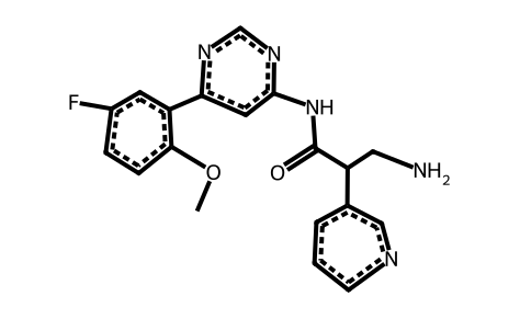 COc1ccc(F)cc1-c1cc(NC(=O)C(CN)c2cccnc2)ncn1